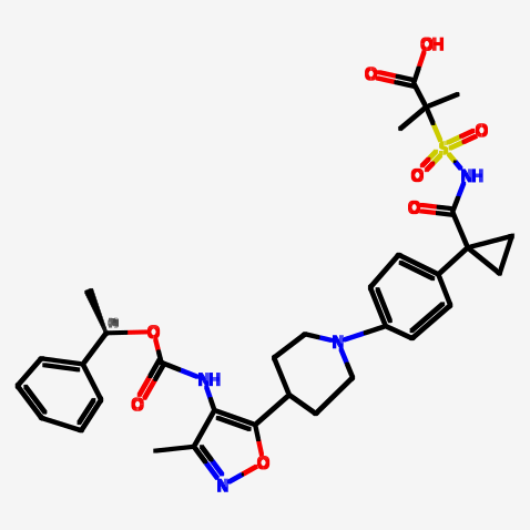 Cc1noc(C2CCN(c3ccc(C4(C(=O)NS(=O)(=O)C(C)(C)C(=O)O)CC4)cc3)CC2)c1NC(=O)O[C@H](C)c1ccccc1